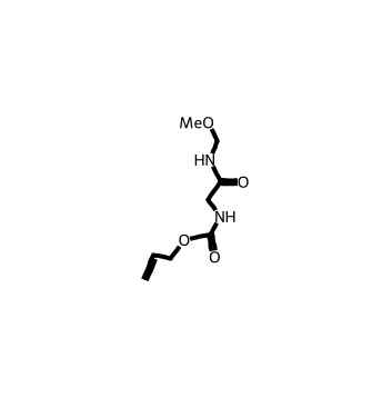 C=CCOC(=O)NCC(=O)NCOC